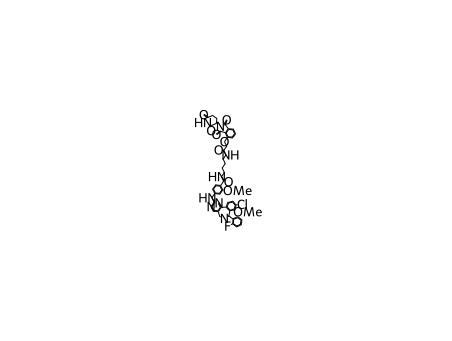 COc1cc(Nc2ncc3c(n2)-c2ccc(Cl)cc2C(c2c(F)cccc2OC)=NC3)ccc1C(=O)NCCCCNC(=O)COc1cccc2c1C(=O)N(C1CCC(=O)NC1=O)C2=O